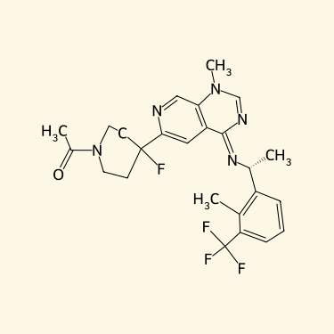 CC(=O)N1CCC(F)(c2cc3/c(=N/[C@H](C)c4cccc(C(F)(F)F)c4C)ncn(C)c3cn2)CC1